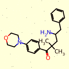 CC(C)(CC(N)Cc1ccccc1)C(=O)c1ccc(N2CCOCC2)cc1